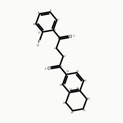 O=C(CCC(=O)c1ccccc1F)c1ccc2c(c1)CCCC2